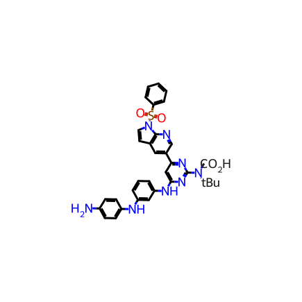 CC(C)(C)N(C(=O)O)c1nc(Nc2cccc(Nc3ccc(N)cc3)c2)cc(-c2cnc3c(ccn3S(=O)(=O)c3ccccc3)c2)n1